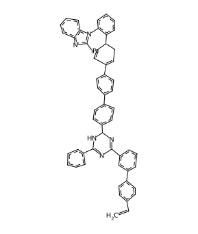 C=Cc1ccc(-c2cccc(C3=NC(c4ccc(-c5ccc(C6=CCC(c7ccccc7-n7c(C(C)C)nc8ccccc87)C=C6)cc5)cc4)NC(c4ccccc4)=N3)c2)cc1